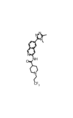 Cc1nnc(-c2ccc3cnc(NC(=O)C4CCN(CCC(F)(F)F)CC4)cc3c2)n1C